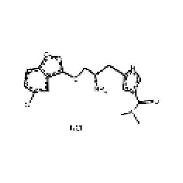 CN(C)C(=O)n1cnc(CC(N)COc2noc3ccc(Cl)cc23)c1.Cl